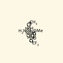 C=C/N=C1/C(N)=NC(N2CCCN(C)CC2)=N/C1=C(/N)Nc1cc(C(=O)Nc2cccc(C(F)(F)F)c2)ccc1OC